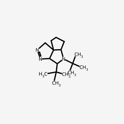 CC(C)(C)C1C2N=NCC23CCCC3N1C(C)(C)C